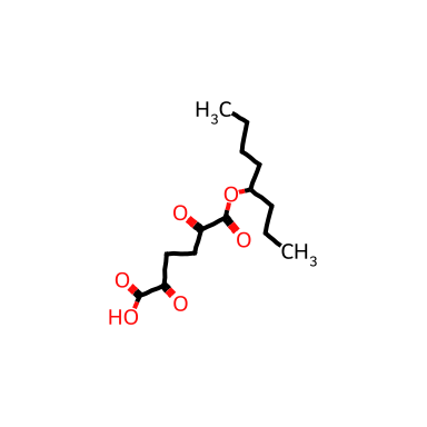 CCCCC(CCC)OC(=O)C(=O)CCC(=O)C(=O)O